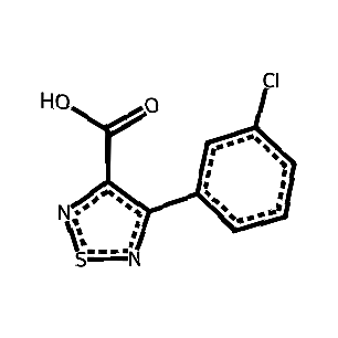 O=C(O)c1nsnc1-c1cccc(Cl)c1